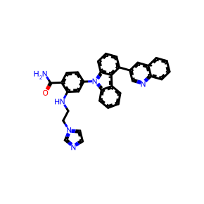 NC(=O)c1ccc(-n2c3ccccc3c3c(-c4cnc5ccccc5c4)cccc32)cc1NCCn1ccnc1